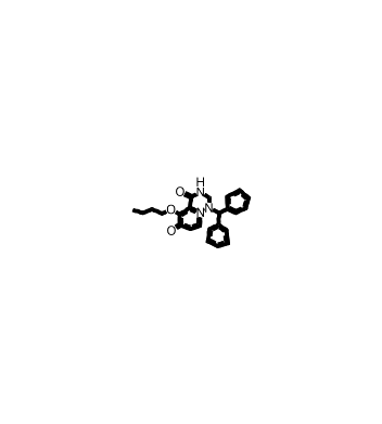 CCCCOc1c2n(ccc1=O)N(C(c1ccccc1)c1ccccc1)CNC2=O